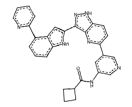 O=C(Nc1cncc(-c2ccc3[nH]nc(-c4cc5c(-c6ccccn6)cccc5[nH]4)c3n2)c1)C1CCC1